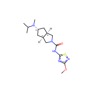 COc1nsc(NC(=O)N2C[C@H]3C[C@H](N(C)C(C)C)C[C@H]3C2)n1